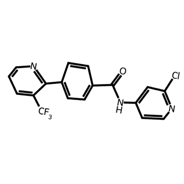 O=C(Nc1ccnc(Cl)c1)c1ccc(-c2ncccc2C(F)(F)F)cc1